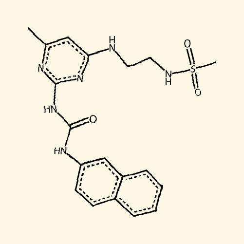 Cc1cc(NCCNS(C)(=O)=O)nc(NC(=O)Nc2ccc3ccccc3c2)n1